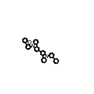 C1=CC(C2C=CCCC2)CC(n2c3c(c4cc(C5=CC6C7C=CC=CC7N(c7cccc8c7oc7ccccc78)C6C=C5)ccc42)C=CCC3)=C1